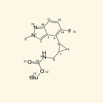 Cn1cc2c(C3CC3CNC(=O)OC(C)(C)C)c(F)ccc2n1